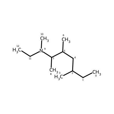 CCC(C)CC(C)C(C)N(C)CC